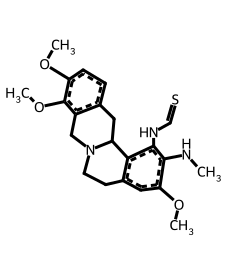 CNc1c(OC)cc2c(c1NC=S)C1Cc3ccc(OC)c(OC)c3CN1CC2